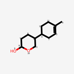 CC1=CCC(C2CCC(O)OC2)CC1